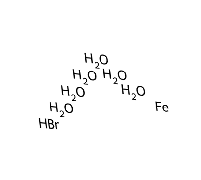 Br.O.O.O.O.O.O.[Fe]